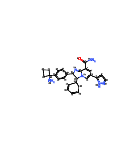 NC(=O)C1=CC(c2ccn[nH]2)=CN2C1=NC(c1ccc(C3(N)CCC3)cc1)C2C1C=CC=CC1